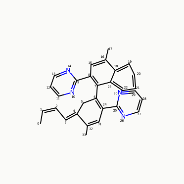 C/C=C\C=C1/CC(c2c(-c3ncccn3)cc(C)c3ccccc23)=C(c2ncccn2)C=C1C